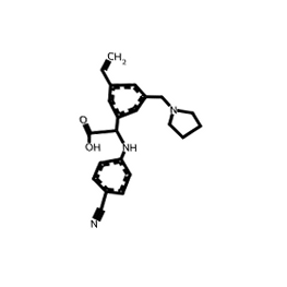 C=Cc1cc(CN2CCCC2)cc(C(Nc2ccc(C#N)cc2)C(=O)O)c1